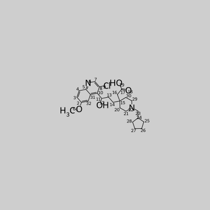 COc1ccc2ncc(Cl)c(C(O)CCC3(CC(=O)O)CCN(CC4CCCC4)CC3)c2c1